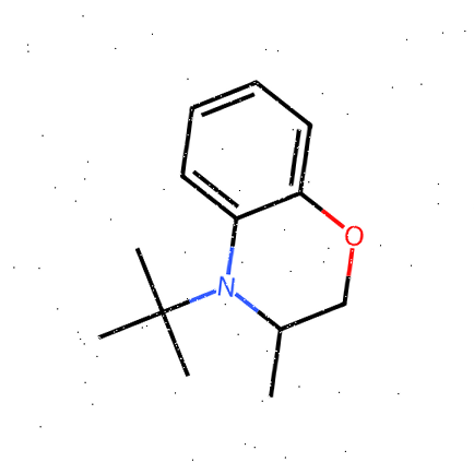 CC1COc2ccccc2N1C(C)(C)C